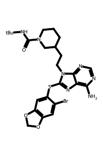 CC(C)(C)NC(=O)N1CCCC(CCn2c(Sc3cc4c(cc3Br)OCO4)nc3c(N)ncnc32)C1